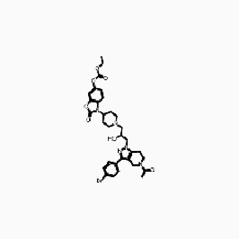 CCOC(=O)Oc1ccc2c(c1)oc(=O)n2C1CCN(CC(O)Cn2nc(-c3ccc(Br)cc3)c3c2CCN(C(C)=O)C3)CC1